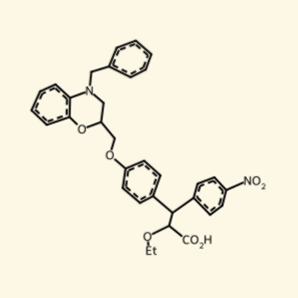 CCOC(C(=O)O)C(c1ccc(OCC2CN(Cc3ccccc3)c3ccccc3O2)cc1)c1ccc([N+](=O)[O-])cc1